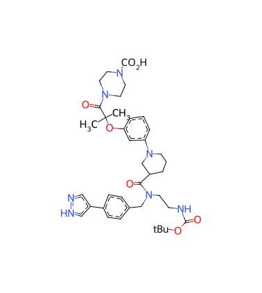 CC(C)(C)OC(=O)NCCN(Cc1ccc(-c2cn[nH]c2)cc1)C(=O)C1CCCN(c2cccc(OC(C)(C)C(=O)N3CCN(C(=O)O)CC3)c2)C1